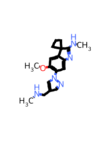 CNCc1cnn(-c2cc3c(cc2OC)C2(CCC2)C(NC)=N3)c1